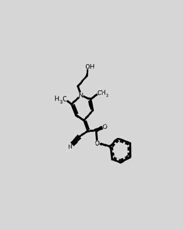 CC1=CC(=C(C#N)C(=O)Oc2ccccc2)C=C(C)N1CCO